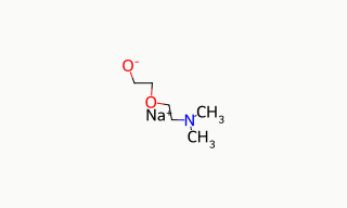 CN(C)CCOCC[O-].[Na+]